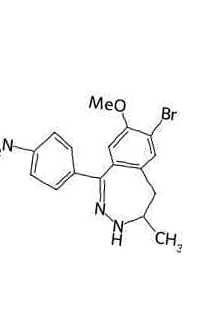 COc1cc2c(cc1Br)CC(C)NN=C2c1ccc([N+](=O)[O-])cc1